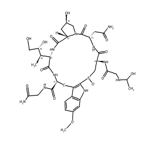 COc1ccc2c3c([nH]c2c1)[S+]([O-])C[C@H](NC(=O)CNC(C)O)C(=O)N[C@@H](CC(N)=O)C(=O)N1C[C@H](O)C[C@H]1C(=O)N[C@@H]([C@@H](C)[C@@H](O)CO)C(=O)N[C@H](C(=O)NCC(N)=O)C3